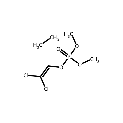 CC.COP(=O)(OC)OC=C(Cl)Cl